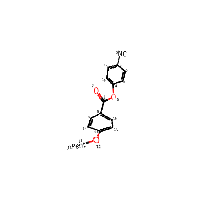 [C-]#[N+]c1ccc(OC(=O)c2ccc(OCCCCC)cc2)cc1